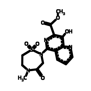 COC(=O)c1nc(N2CC(=O)N(C)CCS2(=O)=O)c2cccnc2c1O